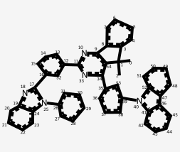 CC1(C)c2ccccc2-c2nc(-c3cccc(-c4nc5ccccc5n4-c4ccccc4)c3)nc(-c3cccc(-n4c5ccccc5c5ccccc54)c3)c21